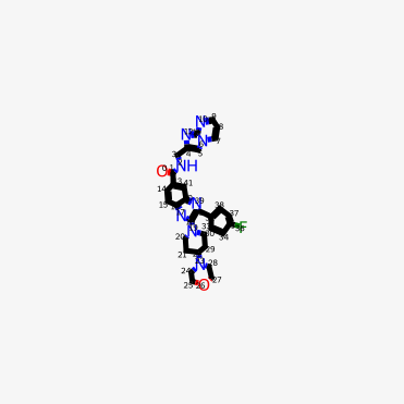 O=C(NCc1cn2cccnc2n1)c1ccc2nc(N3CCC(N4CCOCC4)CC3)c(-c3ccc(F)cc3)nc2c1